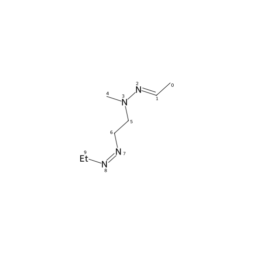 C/C=N/N(C)CC/N=N\CC